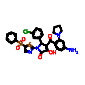 Nc1ccc(C(=O)C2=C(O)C(=O)N(c3ncc(S(=O)(=O)c4ccccc4)s3)C2c2cccc(Cl)c2)c(N2CCCC2)c1